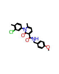 COc1ccc(CNC(=O)c2ccc(C)n(-c3ccc(C)c(Cl)c3)c2=O)cc1